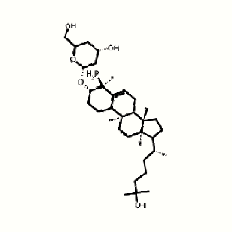 C[C@H](CCCC(C)(C)O)C1CC[C@@]2(C)C3CC=C4C(CC[C@H](O[C@H]5C[C@@H](O)CC(CO)O5)[C@@]4(C)P)[C@]3(C)CC[C@]12C